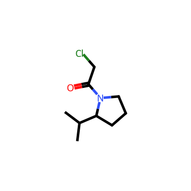 CC(C)C1CCCN1C(=O)CCl